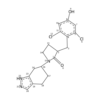 O=C1C(Cc2c(Cl)cc(O)cc2Cl)CCN1C1CCc2cn[nH]c2C1